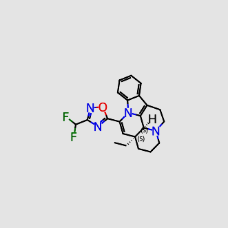 CC[C@@]12C=C(c3nc(C(F)F)no3)n3c4c(c5ccccc53)CCN(CCC1)[C@H]42